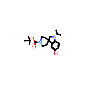 CC(C)N1CC2(CCN(C(=O)OC(C)(C)C)CC2)c2cc(Br)ccc21